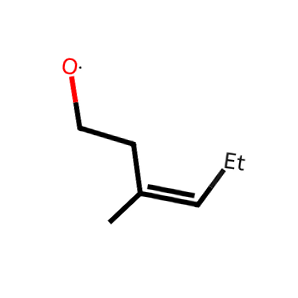 CCC=C(C)CC[O]